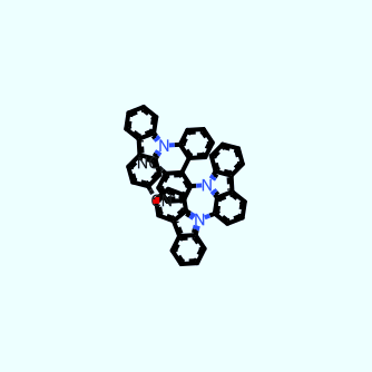 N#Cc1ccc2c3ccccc3n(-c3ccccc3-c3c(C#N)cccc3-n3c4ccccc4c4cccc(-n5c6ccccc6c6ccccc65)c43)c2c1